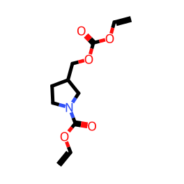 C=COC(=O)OCC1CCN(C(=O)OC=C)C1